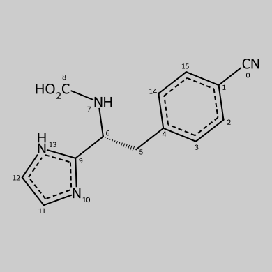 N#Cc1ccc(C[C@@H](NC(=O)O)c2ncc[nH]2)cc1